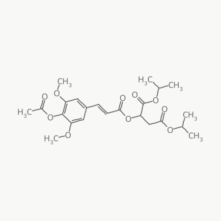 COc1cc(/C=C/C(=O)OC(CC(=O)OC(C)C)C(=O)OC(C)C)cc(OC)c1OC(C)=O